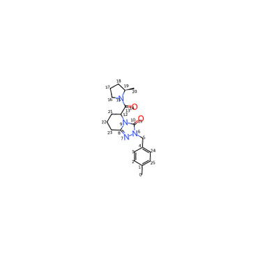 Cc1ccc(Cn2nc3n(c2=O)C(C(=O)N2CCC[C@H]2C)CCC3)cc1